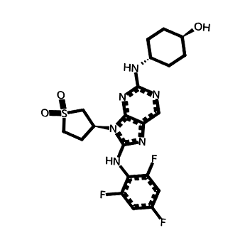 O=S1(=O)CC[C@H](n2c(Nc3c(F)cc(F)cc3F)nc3cnc(N[C@H]4CC[C@H](O)CC4)nc32)C1